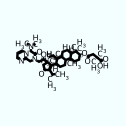 CC(C)C1=C2[C@H]3CCC4[C@@]5(C)CC[C@H](OC(=O)CC(C)(C)C(=O)O)C(C)(C)[C@@H]5CC[C@@]4(C)[C@]3(C)CC[C@@]2([C@@H](O)CN(Cc2ncccn2)C(=O)CN(C)C)CC1=O